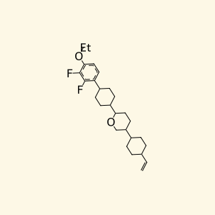 C=CC1CCC(C2CCC(C3CCC(c4ccc(OCC)c(F)c4F)CC3)OC2)CC1